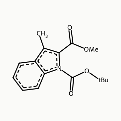 COC(=O)c1c(C)c2ccccc2n1C(=O)OC(C)(C)C